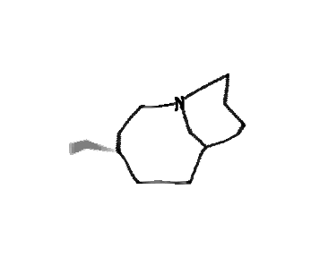 C[C@H]1CCC2CCN2C1